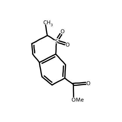 COC(=O)c1ccc2c(c1)S(=O)(=O)C(C)C=C2